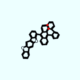 c1ccc(-c2ccccc2-c2c3ccccc3c(-c3cccc4c3oc3cc5c(cc34)oc3ccccc35)c3ccccc23)cc1